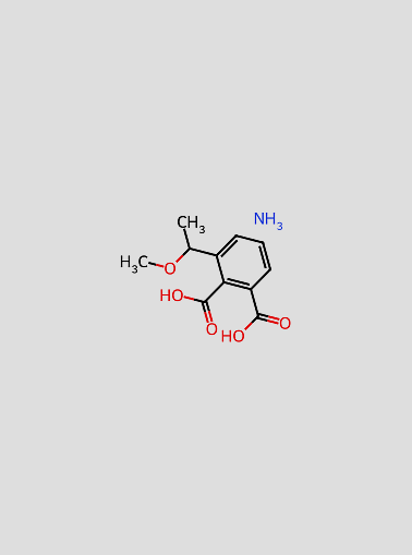 COC(C)c1cccc(C(=O)O)c1C(=O)O.N